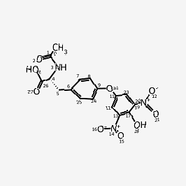 CC(=O)N[C@H](Cc1ccc(Oc2cc([N+](=O)[O-])c(O)c([N+](=O)[O-])c2)cc1)C(=O)O